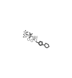 CC1(C)[C@H](NC(=O)OCc2ccc(C3CCCCC3)cc2)C(=O)N1C([Si](C)(C)C)[Si](C)(C)C